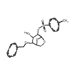 Cc1ccc(S(=O)(=O)OC2C3OCC(O3)C(OCc3ccccc3)C2O)cc1